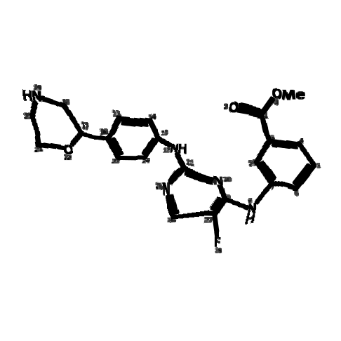 COC(=O)c1cccc(Nc2nc(Nc3ccc(C4CNCCO4)cc3)ncc2F)c1